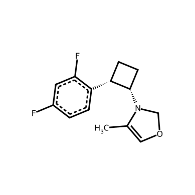 CC1=COCN1[C@H]1CC[C@H]1c1ccc(F)cc1F